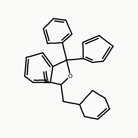 C=CC(CC1CC=CCC1)OC(c1ccccc1)(c1ccccc1)c1ccccc1